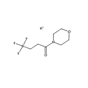 O=C(CC[B-](F)(F)F)N1CCOCC1.[K+]